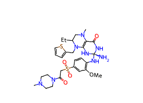 CCC1CN(C)C2=C(N[C@@](N)(Nc3ccc(S(=O)(=O)CC(=O)N4CCN(C)CC4)cc3OC)NC2=O)N1Cc1cccs1